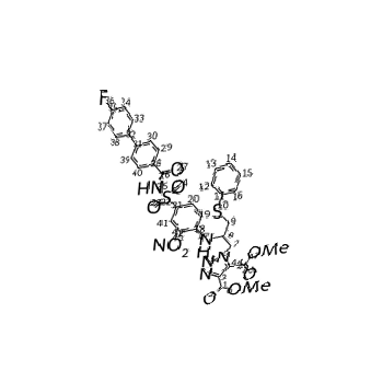 COC(=O)c1nnn(CC(CSc2ccccc2)Nc2ccc(S(=O)(=O)NC(=O)c3ccc(-c4ccc(F)cc4)cc3)cc2[N+](=O)[O-])c1C(=O)OC